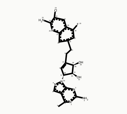 Cc1nc(N)nc2c1cnn2[C@@H]1C=C(CCc2cc(F)c3cc(Cl)c(N)nc3c2)[C@@H](O)[C@H]1O